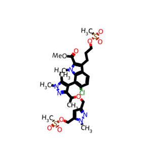 COC(=O)c1c(CCCOS(C)(=O)=O)c2ccc(Cl)c(-c3c(C(C)OCc4cc(COS(C)(=O)=O)n(C)n4)nn(C)c3C)c2n1C